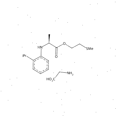 CSCCOC(=O)[C@H](C)Nc1ccccc1C(C)C.NCC(=O)O